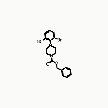 N#Cc1cccc(Br)c1N1CCN(C(=O)OCc2ccccc2)CC1